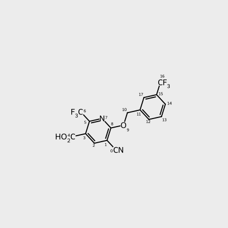 N#Cc1cc(C(=O)O)c(C(F)(F)F)nc1OCc1cccc(C(F)(F)F)c1